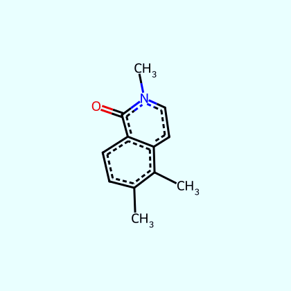 Cc1ccc2c(=O)n(C)ccc2c1C